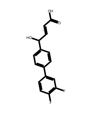 O=C(O)/C=C/C(O)c1ccc(-c2ccc(F)c(F)c2)cc1